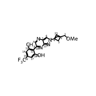 COCC12CC(n3cc4ncc(-c5c(C)cc(C(F)(F)F)cc5O)nc4n3)(C1)C2